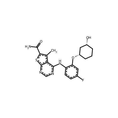 Cc1c(C(N)=O)sc2ncnc(Nc3ccc(F)cc3O[C@H]3CCC[C@@H](O)C3)c12